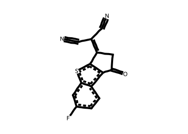 N#CC(C#N)=C1CC(=O)c2c1sc1cc(F)ccc21